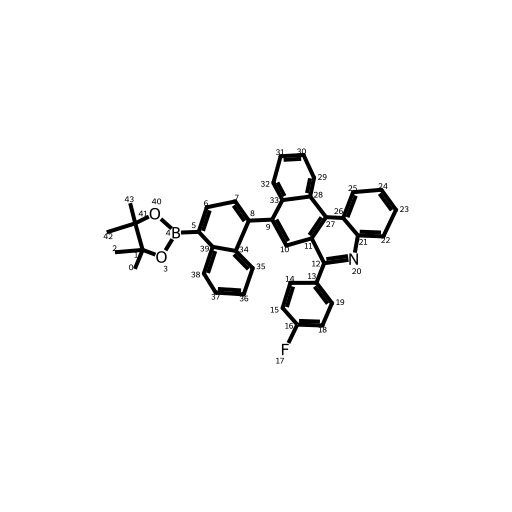 CC1(C)OB(c2ccc(-c3cc4c(-c5ccc(F)cc5)nc5ccccc5c4c4ccccc34)c3ccccc23)OC1(C)C